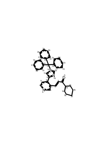 O=C(C=Cc1cnccc1-c1cn(C(c2ccccc2)(c2ccccc2)c2ccccc2)cn1)C1CCCCC1